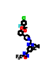 C[C@]1(c2ccc(Cl)cc2F)Oc2cccc(C3CCN(Cc4nc5cc(-c6noc(C(F)(F)F)n6)ccc5n4CC4(C#N)CC4)CC3)c2O1